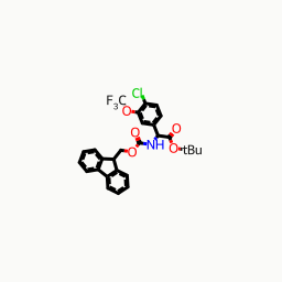 CC(C)(C)OC(=O)C(NC(=O)OCC1c2ccccc2-c2ccccc21)c1ccc(Cl)c(OC(F)(F)F)c1